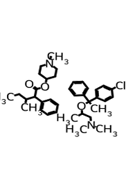 CC(CN(C)C)OC(C)(c1ccccc1)c1ccc(Cl)cc1.CCC(C)C(C(=O)OC1CCN(C)CC1)c1ccccc1